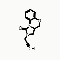 C#CCN1CC2COc3ccccc3N2C1=O